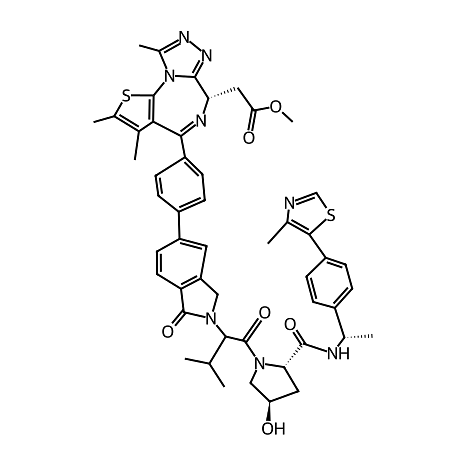 COC(=O)C[C@@H]1N=C(c2ccc(-c3ccc4c(c3)CN(C(C(=O)N3C[C@H](O)C[C@H]3C(=O)N[C@@H](C)c3ccc(-c5scnc5C)cc3)C(C)C)C4=O)cc2)c2c(sc(C)c2C)-n2c(C)nnc21